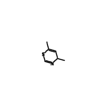 CC1=CC(C)N=CS1